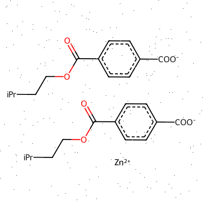 CC(C)CCOC(=O)c1ccc(C(=O)[O-])cc1.CC(C)CCOC(=O)c1ccc(C(=O)[O-])cc1.[Zn+2]